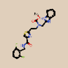 CC(C)(C)OC(=O)N(CCc1nc(C(=O)NCc2c(F)cccc2F)cs1)Cc1nc2ccccc2[nH]1